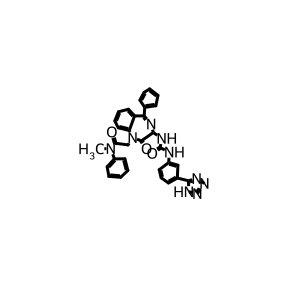 CN(C(=O)CN1C(=O)C(NC(=O)Nc2cccc(-c3nnn[nH]3)c2)N=C(c2ccccc2)c2ccccc21)c1ccccc1